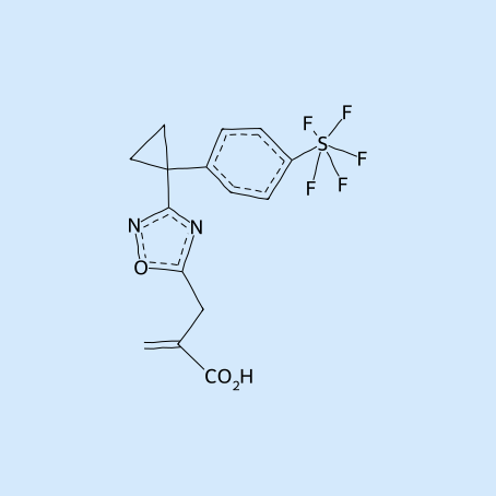 C=C(Cc1nc(C2(c3ccc(S(F)(F)(F)(F)F)cc3)CC2)no1)C(=O)O